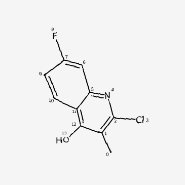 Cc1c(Cl)nc2cc(F)ccc2c1O